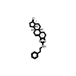 C[C@]12CCc3sc(NCCc4ccccc4)nc3C1=CC[C@@H]1[C@@H]2CC[C@]2(C)C(=O)CC[C@@H]12